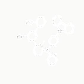 CN1C(N(c2ccc(-n3c4ccccc4c4ccccc43)cc2)c2ccccn2)=CC=CC1c1cc(-c2ccccc2O)cc(C(C)(C)C)c1